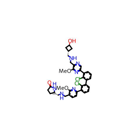 COc1nc(-c2cccc(-c3cccc(-c4cnc(CNC[C@H]5C[C@H](O)C5)c(OC)n4)c3Cl)c2Cl)ccc1CNC[C@@H]1CCC(=O)N1